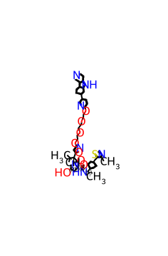 Cc1ncsc1-c1ccc([C@H](C)NC(=O)[C@@H]2C[C@@H](O)CN2C(=O)C(c2cc(OCCOCCOCCOc3ccc(-c4ccc5c(c4)[nH]c4ccncc45)cn3)no2)C(C)C)cc1